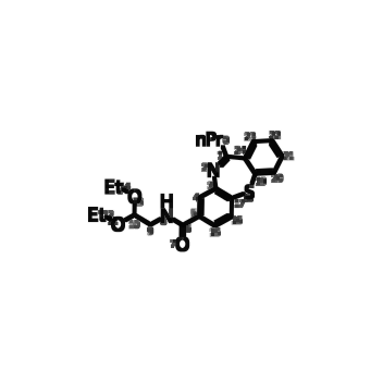 CCCC1=Nc2cc(C(=O)NCC(OCC)OCC)ccc2Sc2ccccc21